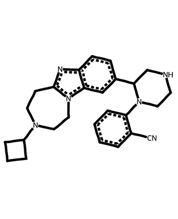 N#Cc1ccccc1N1CCNCC1c1ccc2nc3n(c2c1)CCN(C1CCC1)CC3